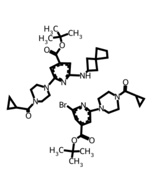 CC(C)(C)OC(=O)c1cc(Br)nc(N2CCN(C(=O)C3CC3)CC2)c1.CC(C)(C)OC(=O)c1cc(NC2CC3(CCC3)C2)nc(N2CCN(C(=O)C3CC3)CC2)c1